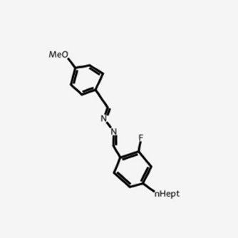 CCCCCCCc1ccc(/C=N/N=C/c2ccc(OC)cc2)c(F)c1